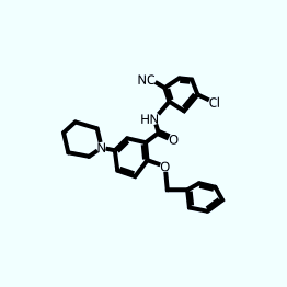 N#Cc1ccc(Cl)cc1NC(=O)c1cc(N2CCCCC2)ccc1OCc1ccccc1